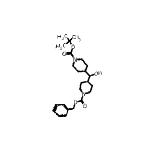 CC(C)(C)OC(=O)N1CCC(C(O)C2CCN(C(=O)OCc3ccccc3)CC2)CC1